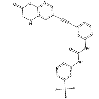 O=C(Nc1cccc(C#Cc2cnc3c(c2)NCC(=O)O3)c1)Nc1cccc(C(F)(F)F)c1